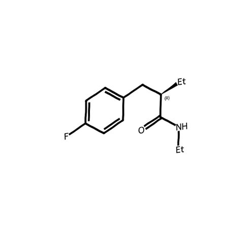 CCNC(=O)[C@H](CC)Cc1ccc(F)cc1